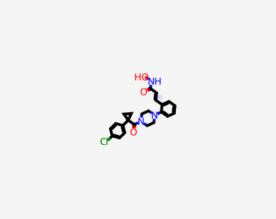 O=C(/C=C/c1ccccc1N1CCN(C(=O)C2(c3ccc(Cl)cc3)CC2)CC1)NO